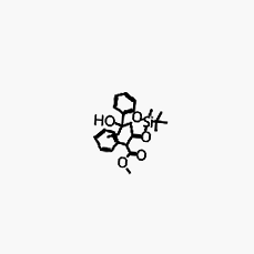 CCC(O)(c1ccccc1)C(O[Si](C)(C)C(C)(C)C)C(=O)C(C(=O)OC)c1ccccc1